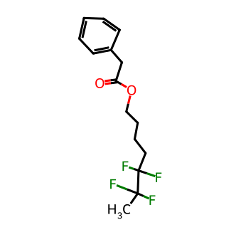 CC(F)(F)C(F)(F)CCCCOC(=O)Cc1ccccc1